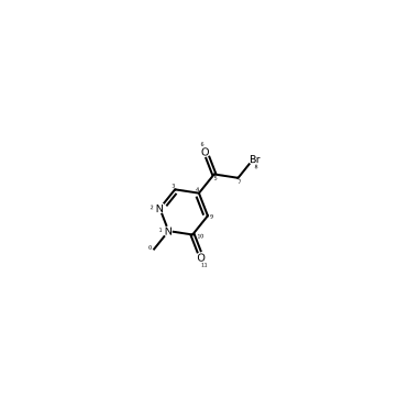 Cn1ncc(C(=O)CBr)cc1=O